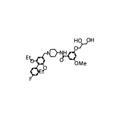 CCOc1cc(CN2CCC(NC(=O)c3cc(OC)cc(OCC(O)CO)c3)CC2)cc(OCC)c1-c1ccc(F)cc1